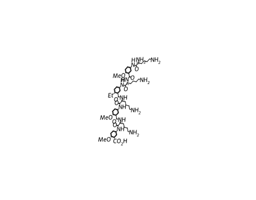 CCc1ccc(NC(=O)[C@H](CCCCN)NC(=O)c2cc(NC(=O)[C@@H](N)CCCCN)ccc2OC)cc1C(=O)N[C@@H](CCCCN)C(=O)Nc1ccc(OC)c(C(=O)N[C@@H](CCCCN)C(=O)Nc2ccc(OC)c(C(=O)O)c2)c1